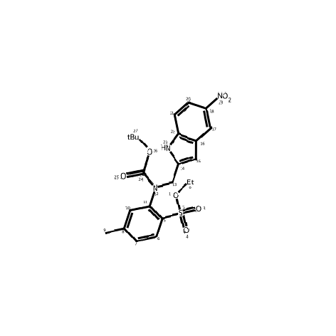 CCOS(=O)(=O)c1ccc(C)cc1N(Cc1cc2cc([N+](=O)[O-])ccc2[nH]1)C(=O)OC(C)(C)C